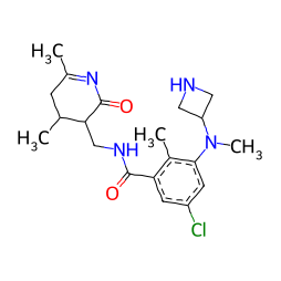 CC1=NC(=O)C(CNC(=O)c2cc(Cl)cc(N(C)C3CNC3)c2C)C(C)C1